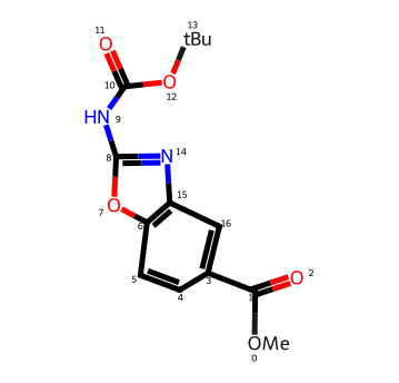 COC(=O)c1ccc2oc(NC(=O)OC(C)(C)C)nc2c1